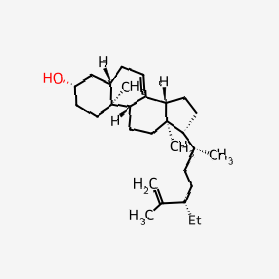 C=C(C)[C@@H](CC)CC[C@@H](C)[C@H]1CC[C@H]2C3=CC[C@H]4C[C@@H](O)CC[C@]4(C)[C@H]3CC[C@]12C